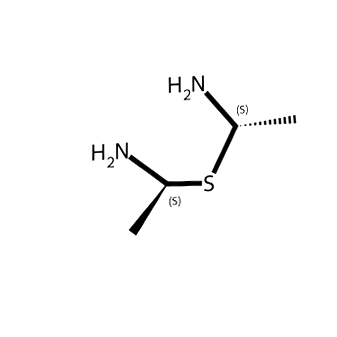 C[C@@H](N)S[C@@H](C)N